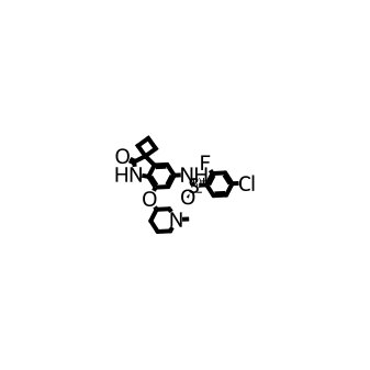 CN1CCCC(Oc2cc(N[S@@+]([O-])c3ccc(Cl)cc3F)cc3c2NC(=O)C32CCC2)C1